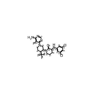 Nc1ncnc(N2CCC(C(F)(F)F)[C@H](N3CCC[C@H](Nc4cc(Cl)cc(Cl)c4)C3=O)C2)c1F